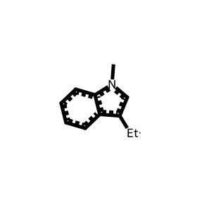 C[CH]c1cn(C)c2ccccc12